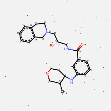 C[C@H]1COCCC1Nc1cccc(C(=O)NC[C@H](O)CN2CCc3ccccc3C2)c1